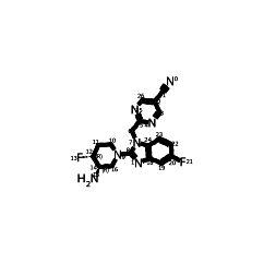 N#Cc1cnc(Cn2c(N3CC[C@@H](F)[C@H](N)C3)nc3cc(F)ccc32)nc1